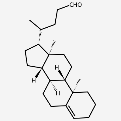 CC(CCC=O)[C@H]1CC[C@H]2[C@@H]3CCC4=CCCC[C@]4(C)[C@H]3CC[C@]12C